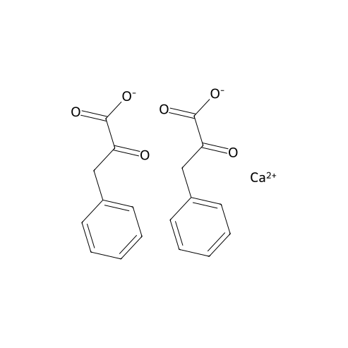 O=C([O-])C(=O)Cc1ccccc1.O=C([O-])C(=O)Cc1ccccc1.[Ca+2]